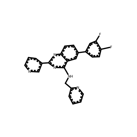 Fc1ccc(-c2ccc3nc(-c4cccnc4)nc(NCc4ccccn4)c3c2)cc1F